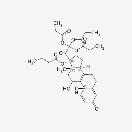 CCCC(=O)O[C@]1(C(=O)C(OC(=O)CC)(OC(=O)CC)OC(=O)CC)CC[C@H]2C3=C(C(O)C[C@@]21C)[C@@]1(C)C=CC(=O)C=C1CC3